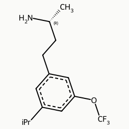 CC(C)c1cc(CC[C@@H](C)N)cc(OC(F)(F)F)c1